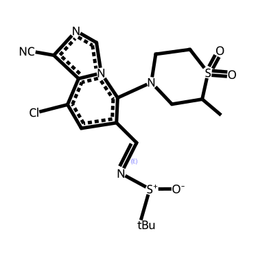 CC1CN(c2c(/C=N/[S+]([O-])C(C)(C)C)cc(Cl)c3c(C#N)ncn23)CCS1(=O)=O